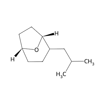 CC(C)CC1CC[C@@H]2CC[C@H]1O2